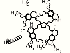 CCOc1cc2c(cc1OCC)C(CCC1(CCC3NCCc4cc(OCC)c(OCC)cc43)CCC(CCC3NCCc4cc(OCC)c(OCC)cc43)(CCC3NCCc4cc(OCC)c(OCC)cc43)C1)NCC2.Cl.Cl.Cl.Cl.O.O.O.O